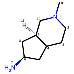 CN1CCC2C[C@@H](N)C[C@H]2C1